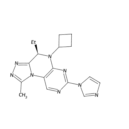 CC[C@@H]1c2nnc(C)n2-c2cnc(-n3ccnc3)nc2N1C1CCC1